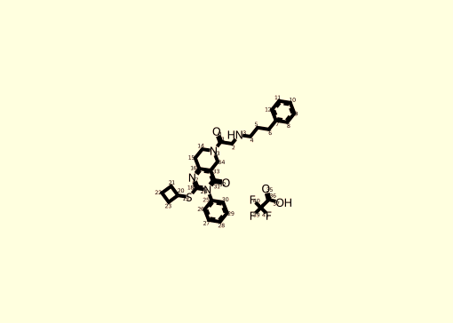 O=C(CNCCCc1ccccc1)N1CCc2nc(SC3CCC3)n(-c3ccccc3)c(=O)c2C1.O=C(O)C(F)(F)F